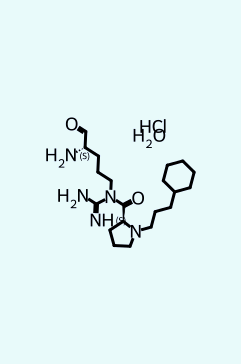 Cl.N=C(N)N(CCC[C@H](N)C=O)C(=O)[C@@H]1CCCN1CCCC1CCCCC1.O